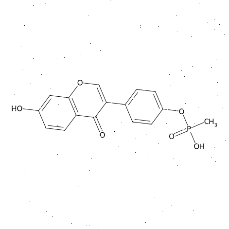 CP(=O)(O)Oc1ccc(-c2coc3cc(O)ccc3c2=O)cc1